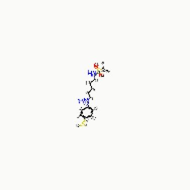 CSc1ccc(NCCCCCNS(=O)(=O)C(C)C)cc1